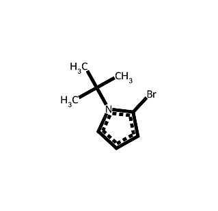 CC(C)(C)n1cccc1Br